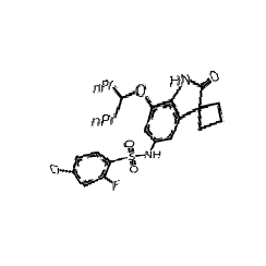 CCCC(CCC)Oc1cc(NS(=O)(=O)c2ccc(Cl)cc2F)cc2c1NC(=O)C21CCC1